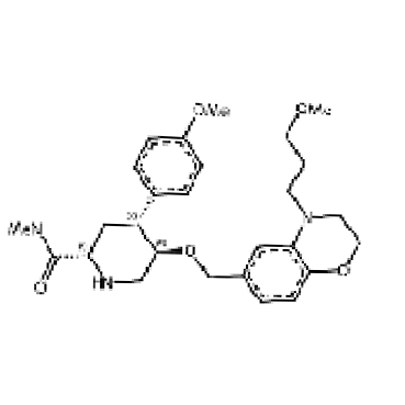 CNC(=O)[C@@H]1C[C@H](c2ccc(OC)cc2)[C@@H](OCc2ccc3c(c2)N(CCCOC)CCO3)CN1